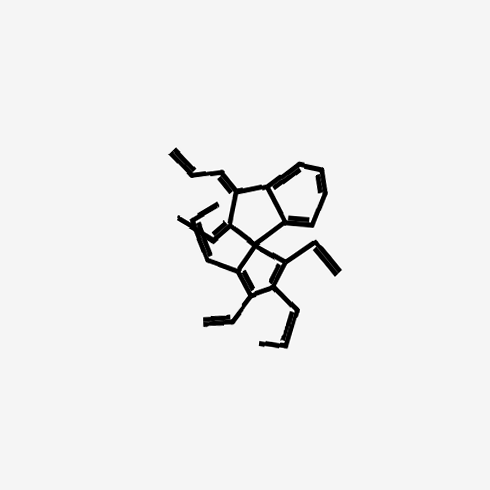 C=C/C=C1\C(=C/C)C2(C(C=C)=C(/C=C\C)C(C=C)=C2/C=C\C)c2ccccc21